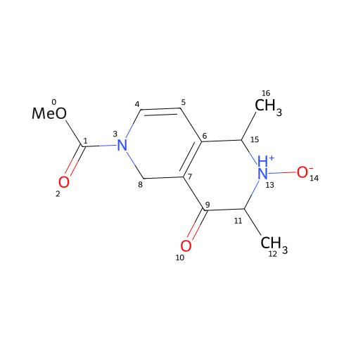 COC(=O)N1C=CC2=C(C1)C(=O)C(C)[NH+]([O-])C2C